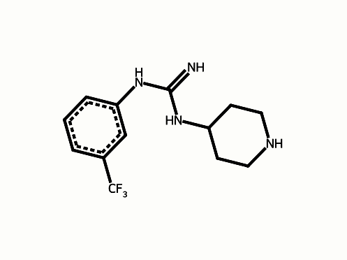 N=C(Nc1cccc(C(F)(F)F)c1)NC1CCNCC1